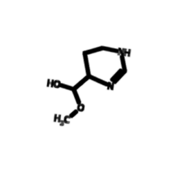 COC(O)C1CCNC=N1